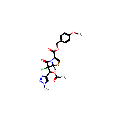 COc1ccc(COC(=O)C2=CS[C@H]3N2C(=O)C3(Br)C(OC(C)=O)c2cn(C)nn2)cc1